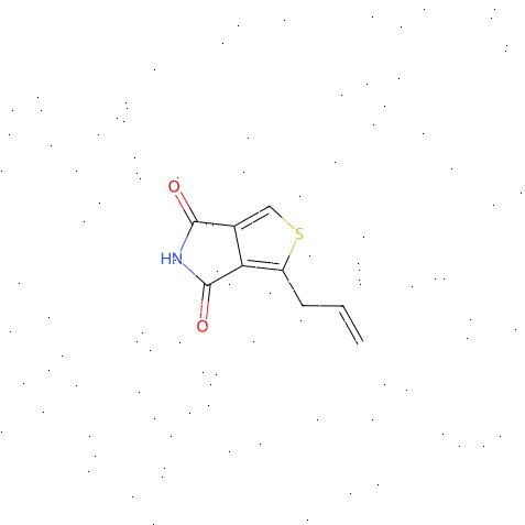 C=CCc1scc2c1C(=O)NC2=O